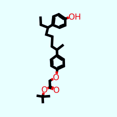 CCC(CCCC(C)c1ccc(OCC(=O)OC(C)(C)C)cc1)c1ccc(O)cc1